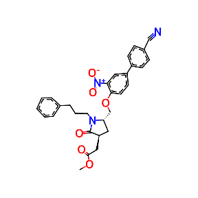 COC(=O)C[C@@H]1C[C@@H](COc2ccc(-c3ccc(C#N)cc3)cc2[N+](=O)[O-])N(CCCc2ccccc2)C1=O